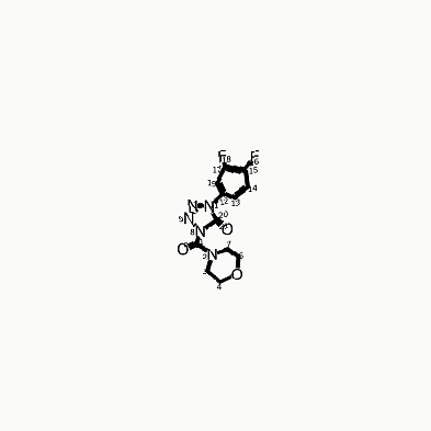 O=C(N1CCOCC1)n1nnn(-c2ccc(F)c(F)c2)c1=O